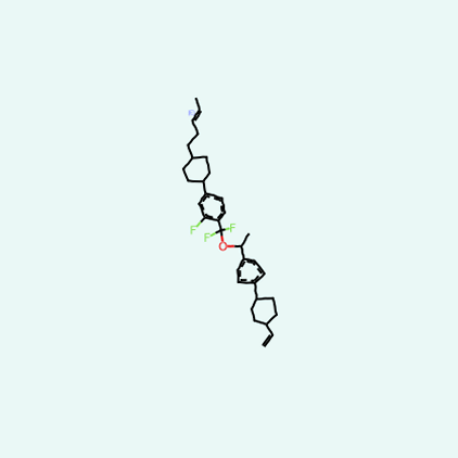 C=CC1CCC(c2ccc(C(C)OC(F)(F)c3ccc(C4CCC(CC/C=C/C)CC4)cc3F)cc2)CC1